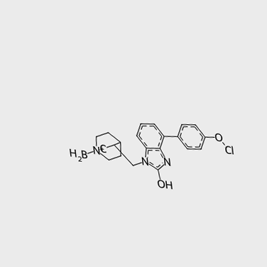 B[N+]12CCC(CC1)C(Cn1c(O)nc3c(-c4ccc(OCl)cc4)cccc31)C2